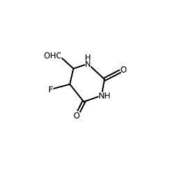 O=CC1NC(=O)NC(=O)C1F